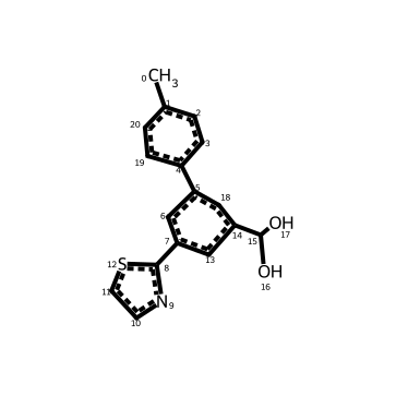 Cc1ccc(-c2cc(-c3nccs3)cc(C(O)O)c2)cc1